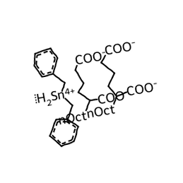 CCCCCCCCC(CCCC(=O)[O-])C(=O)[O-].CCCCCCCCC(CCCC(=O)[O-])C(=O)[O-].c1ccc([CH2][SnH2+4][CH2]c2ccccc2)cc1